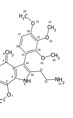 C=C(C)c1c(C(=O)OC)[nH]c(CCN)c1-c1ccc(OC)c(OC)c1OC